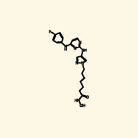 O=C(CCCCCCn1cc(Nc2nccc(Nc3ccc(F)cc3)n2)cn1)NO